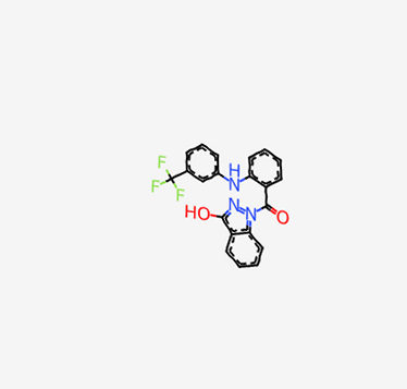 O=C(c1ccccc1Nc1cccc(C(F)(F)F)c1)n1nc(O)c2ccccc21